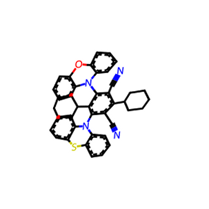 N#Cc1c(C2CCCCC2)c(C#N)c(N2c3ccccc3Sc3ccccc32)c(C2CCCCC2)c1N1c2ccccc2Oc2ccccc21